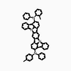 Cc1ccc(N(c2ccccc2)c2ccc3c4cc5c(cc4n4c6ccccc6c2c34)c2ccc(N(c3ccccc3)c3ccccc3C)c3c4ccccc4n5c23)cc1